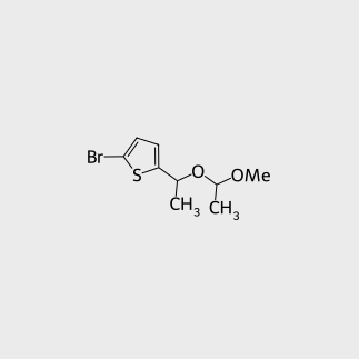 COC(C)OC(C)c1ccc(Br)s1